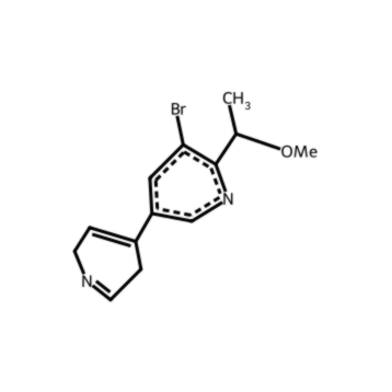 COC(C)c1ncc(C2=CCN=CC2)cc1Br